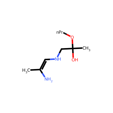 CCCOC(C)(O)CNC=C(C)N